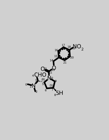 CN(C)C(C=O)[C@H]1C[C@H](S)CN1C(=O)OCc1ccc([N+](=O)[O-])cc1